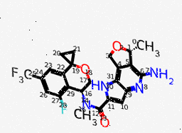 C[C@H]1OCc2c1c(N)nc1cc(C(=O)N(C)[C@@H]3COC4(CC4)c4cc(C(F)(F)F)cc(F)c43)[nH]c21